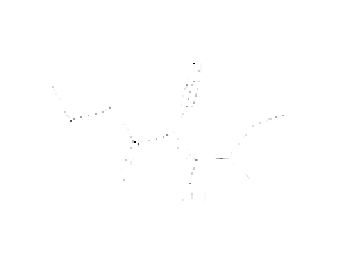 CCOC(=O)/C(C#N)=C(\O)C(CC)CC